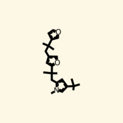 Cn1cc(C(C)(C)C)cc1CC(C)(C)c1cc(CC(C)(C)c2ccoc2)co1